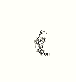 COCCCn1ncc(C(=O)N[C@H]2C3CC4CC2C[C@](O)(C4)C3)c1-n1cccn1